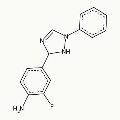 Nc1ccc(C2N=CN(c3ccccc3)N2)cc1F